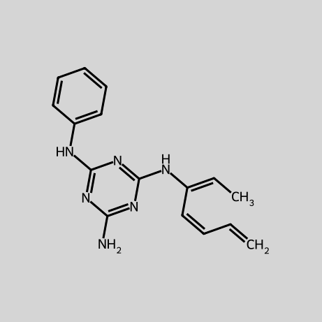 C=C/C=C\C(=C/C)Nc1nc(N)nc(Nc2ccccc2)n1